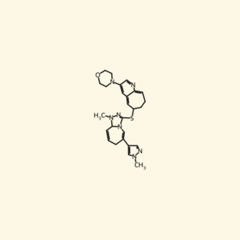 CN1N=C(SC2C=c3cc(N4CCOCC4)cnc3=CCC2)N2C=C(c3cnn(C)c3)CC=CC12